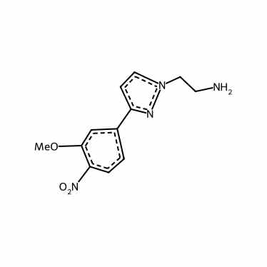 COc1cc(-c2ccn(CCN)n2)ccc1[N+](=O)[O-]